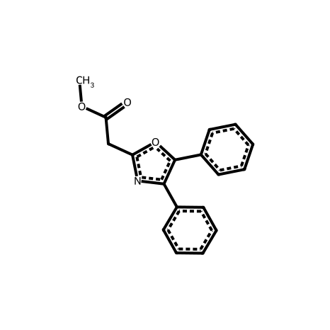 COC(=O)Cc1nc(-c2ccccc2)c(-c2ccccc2)o1